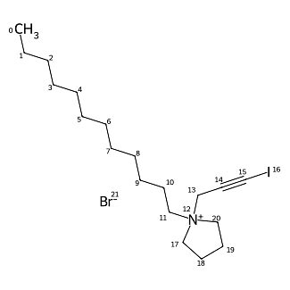 CCCCCCCCCCCC[N+]1(CC#CI)CCCC1.[Br-]